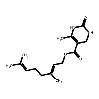 CC(C)=CCC/C(C)=C/COC(=O)C1=C(C)NC(=S)NC1